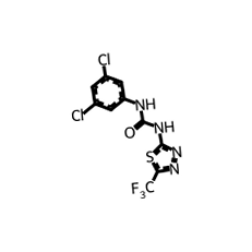 O=C(Nc1cc(Cl)cc(Cl)c1)Nc1nnc(C(F)(F)F)s1